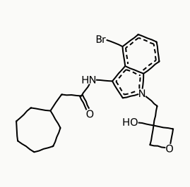 O=C(CC1CCCCCC1)Nc1cn(CC2(O)COC2)c2cccc(Br)c12